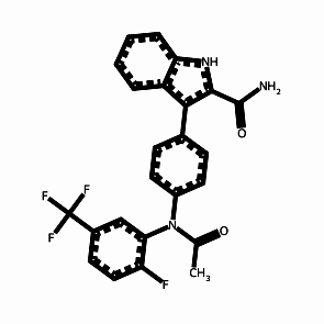 CC(=O)N(c1ccc(-c2c(C(N)=O)[nH]c3ccccc23)cc1)c1cc(C(F)(F)F)ccc1F